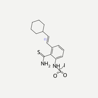 NC(=S)c1c(/C=C/C2CCCCC2)cccc1NS(=O)(=O)I